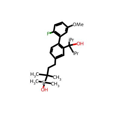 COc1ccc(F)c(-c2ccc(CCC(C)(C)[Si](C)(C)O)cc2C(O)(C(C)C)C(C)C)c1